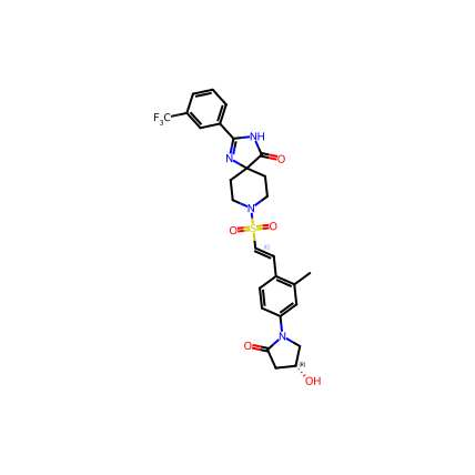 Cc1cc(N2C[C@H](O)CC2=O)ccc1/C=C/S(=O)(=O)N1CCC2(CC1)N=C(c1cccc(C(F)(F)F)c1)NC2=O